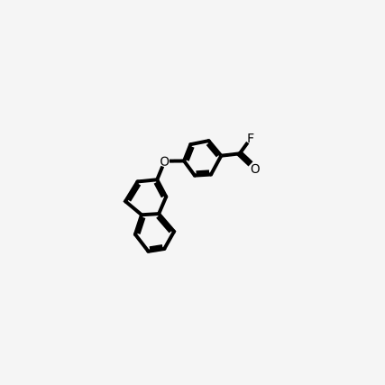 O=C(F)c1ccc(Oc2ccc3ccccc3c2)cc1